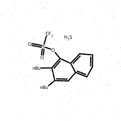 CCCCc1cc2ccccc2c(OS(=O)(=O)C(F)(F)F)c1CCCC.S